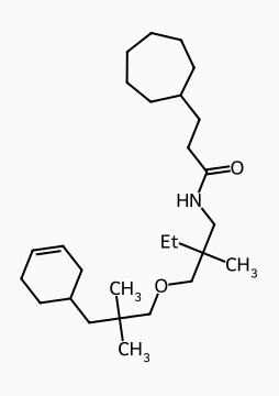 CCC(C)(CNC(=O)CCC1CCCCCC1)COCC(C)(C)CC1CC=CCC1